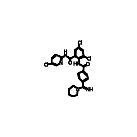 N=C(c1ccc(C(=O)Nc2c(Cl)cc(Cl)cc2C(=O)Nc2ccc(Cl)cn2)cc1)N1CCCCC1